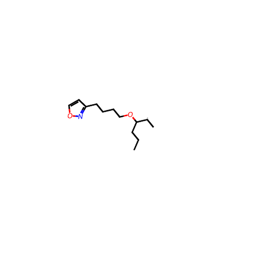 C[CH]C(CCC)OCCCCc1ccon1